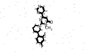 Cn1c(N2CCC=C(c3ccc(F)cc3F)C2)nc(-c2ccncn2)cc1=O